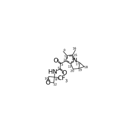 Cc1c(C(=O)C(=O)NC2(C(F)(F)F)COC2)c2n(c1C)C1CC1C2